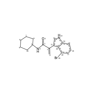 C=C(C(=O)NC1CCCCC1)c1c[nH]c2cccc(Br)c12